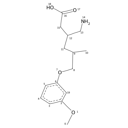 COc1cccc(OCC(C)CC(CN)CC(=O)O)c1